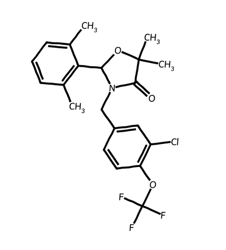 Cc1cccc(C)c1C1OC(C)(C)C(=O)N1Cc1ccc(OC(F)(F)F)c(Cl)c1